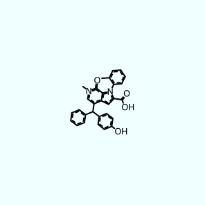 Cc1ccccc1-n1c(C(=O)O)cc2c(C(c3ccccc3)c3ccc(O)cc3)cn(C)c(=O)c21